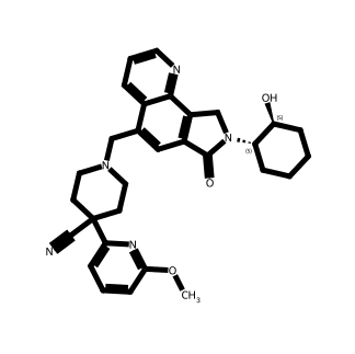 COc1cccc(C2(C#N)CCN(Cc3cc4c(c5ncccc35)CN([C@H]3CCCC[C@@H]3O)C4=O)CC2)n1